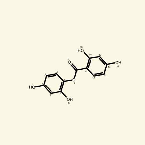 O=C(Oc1ccc(O)cc1O)c1ccc(O)cc1O